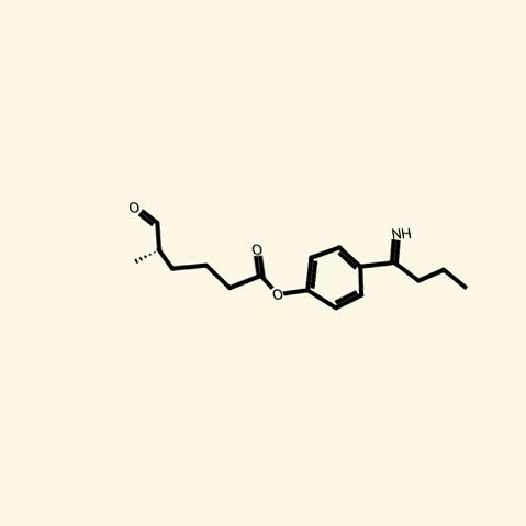 CCCC(=N)c1ccc(OC(=O)CCC[C@H](C)C=O)cc1